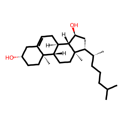 CC(C)CCC[C@@H](C)[C@H]1C[C@H](O)[C@H]2[C@@H]3CC=C4C[C@@H](O)CC[C@]4(C)[C@H]3CC[C@@]21C